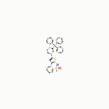 CS1(=O)=Nc2sc(-c3ccc4c(c3)C(c3ccccc3)(c3ccccc3)c3ccccc3-4)cc2-c2ccccc21